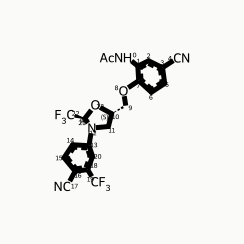 CC(=O)Nc1cc(C#N)ccc1OC[C@@H]1CN(c2ccc(C#N)c(C(F)(F)F)c2)[C@@H](C(F)(F)F)O1